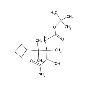 CC(C)(C)OC(=O)NC(C)(C(O)C(N)=O)C(C)(C)C1CCC1